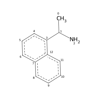 CC(N)c1cccc2ccccc12